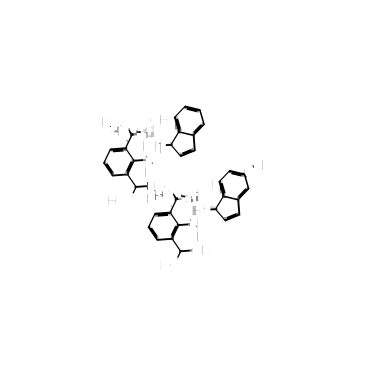 CC(C)c1cccc(C(C)C)c1[NH][Hf+]([CH]1C=Cc2ccccc21)[SiH](C)C.CC(C)c1cccc(C(C)C)c1[NH][Hf+]([CH]1C=Cc2ccccc21)[SiH](C)C.[Cl-].[Cl-]